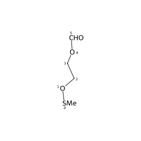 CSOCCOC=O